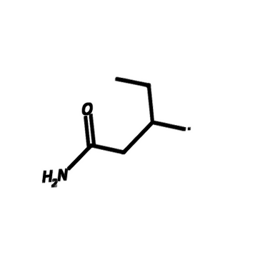 [CH2]C(CC)CC(N)=O